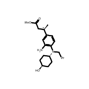 COC(=O)C[C@@H](C)c1ccc(N(CC(C)C)[C@H]2CC[C@H](O)CC2)c(N)c1